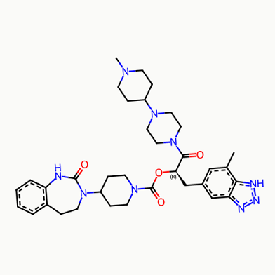 Cc1cc(C[C@@H](OC(=O)N2CCC(N3CCc4ccccc4NC3=O)CC2)C(=O)N2CCN(C3CCN(C)CC3)CC2)cc2nn[nH]c12